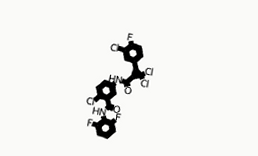 O=C(Nc1c(F)cccc1F)c1cc(NC(=O)C2C(c3ccc(F)c(Cl)c3)C2(Cl)Cl)ccc1Cl